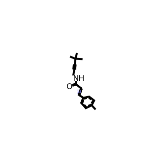 Cc1ccc(/C=C/C(=O)NCC#CC(C)(C)C)cc1